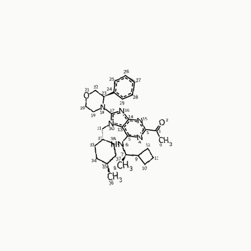 CC(=O)c1nc(N[C@H](C)C2CCC2)c2c(n1)nc(N1CCOC[C@H]1c1ccccc1)n2C[C@H]1CC[C@H](C)CC1